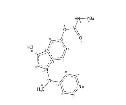 CCCCNC(=O)Oc1ccc2c(ccn2N(C)c2ccncc2)c1.Cl